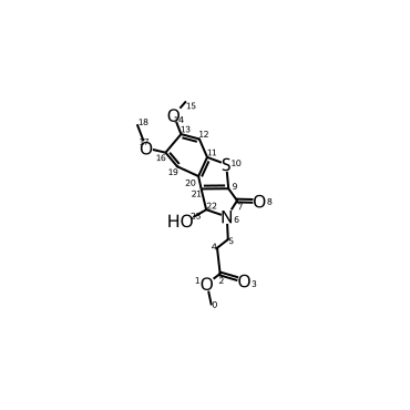 COC(=O)CCN1C(=O)c2sc3cc(OC)c(OC)cc3c2C1O